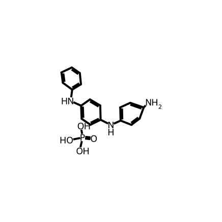 Nc1ccc(Nc2ccc(Nc3ccccc3)cc2)cc1.O=P(O)(O)O